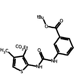 CCOC(=O)c1c(C)csc1NC(=O)Nc1cccc(C(=O)OC(C)(C)C)c1